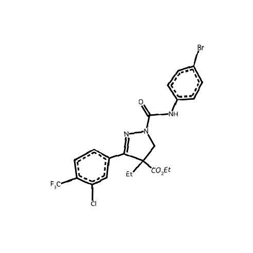 CCOC(=O)C1(CC)CN(C(=O)Nc2ccc(Br)cc2)N=C1c1ccc(C(F)(F)F)c(Cl)c1